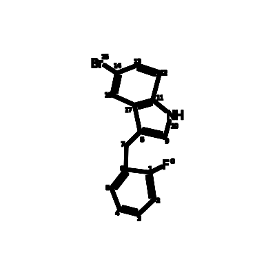 Fc1ccccc1Cc1c[nH]c2ccc(Br)cc12